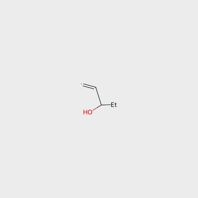 [CH]=CC(O)CC